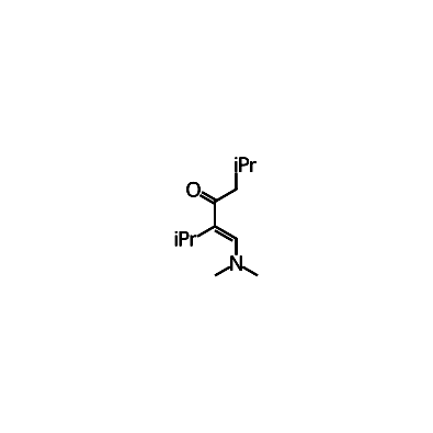 CC(C)CC(=O)C(=CN(C)C)C(C)C